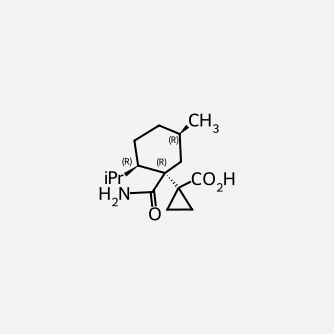 CC(C)[C@H]1CC[C@@H](C)C[C@]1(C(N)=O)C1(C(=O)O)CC1